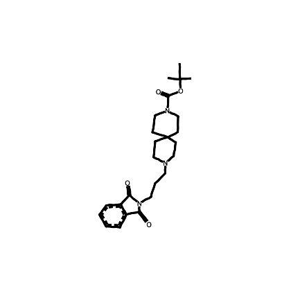 CC(C)(C)OC(=O)N1CCC2(CCN(CCCN3C(=O)c4ccccc4C3=O)CC2)CC1